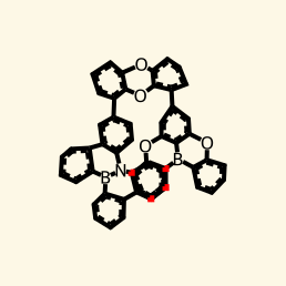 c1ccc2c(c1)Oc1cc(-c3cccc4c3Oc3c(cccc3-c3ccc5c(c3)-c3ccccc3B3c6ccccc6-c6ccccc6N35)O4)cc3c1B2c1ccccc1O3